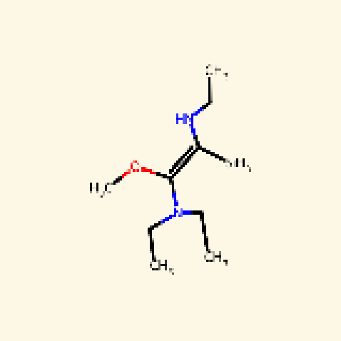 CCNC([SiH3])=C(OC)N(CC)CC